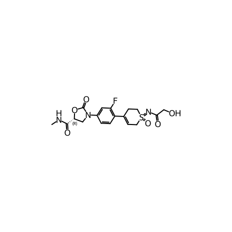 CNC(=O)[C@H]1CN(c2ccc(C3=CCS(=O)(=NC(=O)CO)CC3)c(F)c2)C(=O)O1